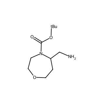 CC(C)(C)OC(=O)N1CCOCCC1CN